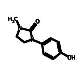 CN1CCN(c2ccc(O)cc2)C1=O